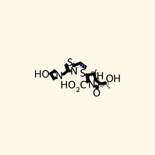 C[C@@H](O)[C@H]1C(=O)N2C(C(=O)O)=C(S/C=C\c3nc(CN4CC(O)C4)cs3)[C@H](C)[C@H]12